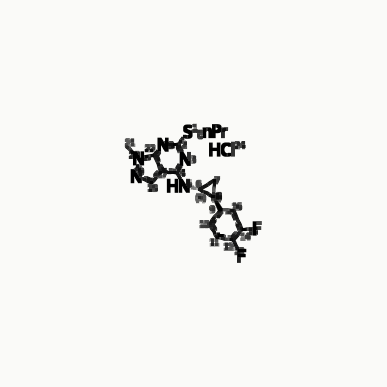 CCCSc1nc(N[C@@H]2C[C@H]2c2ccc(F)c(F)c2)c2cnn(C)c2n1.Cl